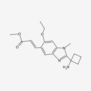 CCOc1cc2c(cc1C=CC(=O)OC)nc(C1(N)CCC1)n2C